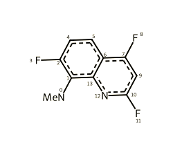 CNc1c(F)ccc2c(F)cc(F)nc12